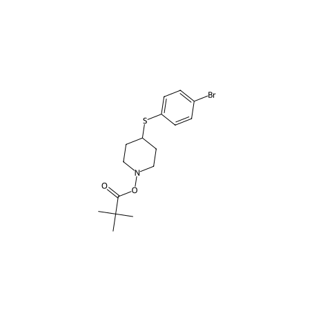 CC(C)(C)C(=O)ON1CCC(Sc2ccc(Br)cc2)CC1